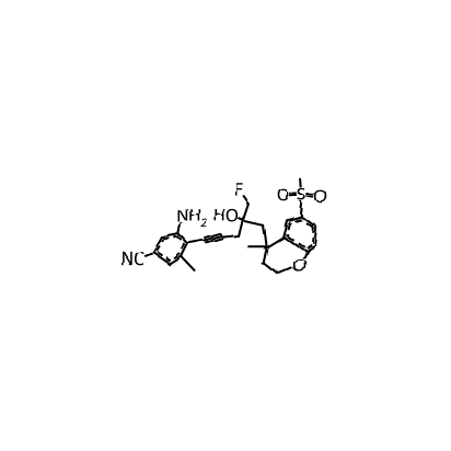 Cc1cc(C#N)cc(N)c1C#CCC(O)(CF)CC1(C)CCOc2ccc(S(C)(=O)=O)cc21